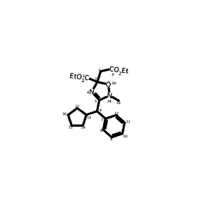 CCOC(=O)CC1(C(=O)OCC)N=C(C(c2ccccc2)C2CCCC2)N(C)O1